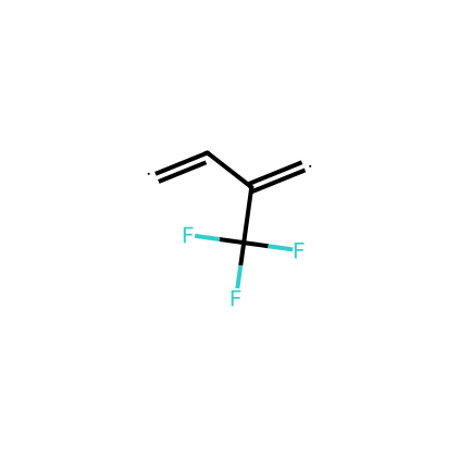 [CH]=CC(=[CH])C(F)(F)F